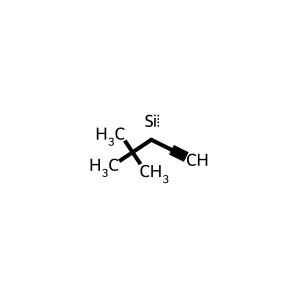 C#CCC(C)(C)C.[Si]